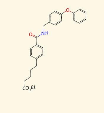 CCOC(=O)CCCCc1ccc(C(=O)NCc2ccc(Oc3ccccc3)cc2)cc1